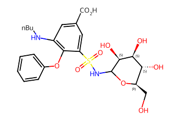 CCCCNc1cc(C(=O)O)cc(S(=O)(=O)NC2O[C@H](CO)[C@@H](O)[C@H](O)[C@@H]2O)c1Oc1ccccc1